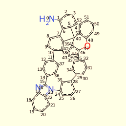 Nc1cccc2c1-c1ccc(-c3ccc(-c4nc5ccccc5n4-c4cccc(-c5ccccc5)c4)cc3)cc1C21c2ccccc2Oc2ccccc21